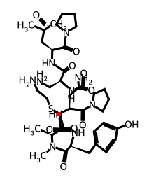 CC(C)C[C@H](NC(=O)[C@H](CN)NC(=O)[C@@H]1CCCN1C(=O)[C@H](CC(N)=O)NC(=O)[C@H](C)N(C)C(=O)[C@H](Cc1ccc(O)cc1)NC(=O)CSCCN)C(=O)N1CCC[C@H]1C=O